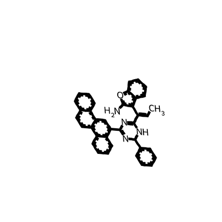 C/C=C(/C1=NC(c2cc3c4ccccc4ccc3c3ccccc23)=NC(c2ccccc2)N1)c1c(N)oc2ccccc12